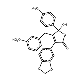 COc1ccc(C2(O)OC(=O)C(c3ccc4c(c3)OCO4)=C2Cc2cccc(C(=O)O)c2)cc1